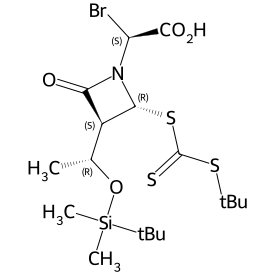 C[C@@H](O[Si](C)(C)C(C)(C)C)[C@H]1C(=O)N([C@@H](Br)C(=O)O)[C@@H]1SC(=S)SC(C)(C)C